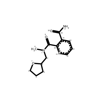 CN(CC1CCCO1)C(=O)c1ncccc1C(N)=O